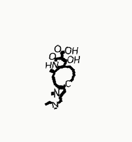 C=C1/C=C\c2c(cc(CN(C)CC)n2C)CCCCCc2c1[nH]c(=O)c(C(=O)O)c2O